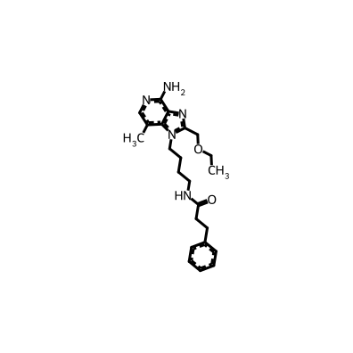 CCOCc1nc2c(N)ncc(C)c2n1CCCCNC(=O)CCc1ccccc1